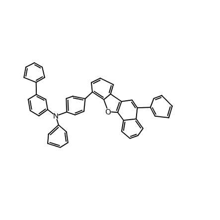 c1ccc(-c2cccc(N(c3ccccc3)c3ccc(-c4cccc5c4oc4c6ccccc6c(-c6ccccc6)cc54)cc3)c2)cc1